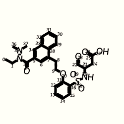 CCN(C(=O)c1cc(CCOc2ccccc2S(=O)(=O)NC(C=O)CC(=O)O)c2ccccc2c1)N(C)C